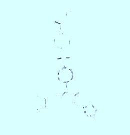 CC(C)(C)OC(=O)N1CCN(S(=O)(=O)c2ccc(/C(=N\O[C@@H]3CCOC3)C(=O)Nc3ncc(F)s3)cc2)CC1